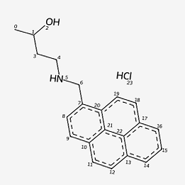 CC(O)CCNCc1ccc2ccc3cccc4ccc1c2c34.Cl